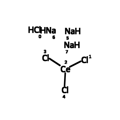 Cl.[Cl][Ce]([Cl])[Cl].[NaH].[NaH].[NaH]